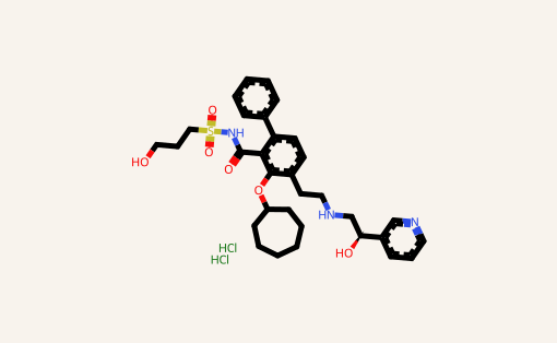 Cl.Cl.O=C(NS(=O)(=O)CCCO)c1c(-c2ccccc2)ccc(CCNC[C@H](O)c2cccnc2)c1OC1CCCCCC1